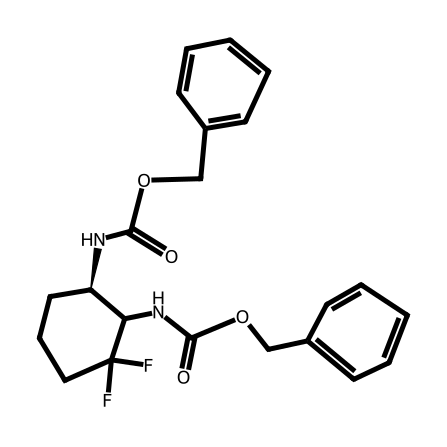 O=C(NC1[C@H](NC(=O)OCc2ccccc2)CCCC1(F)F)OCc1ccccc1